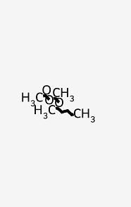 CCCCC(C)OC(C)OC(C)=O